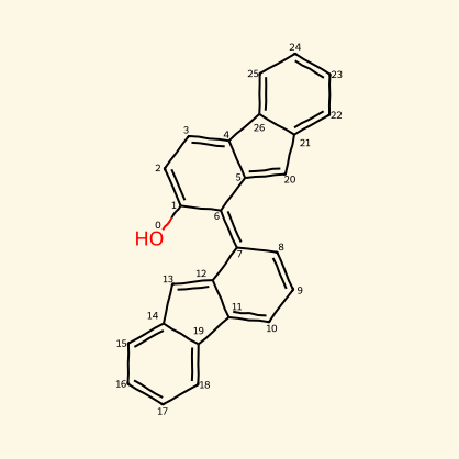 Oc1ccc2c(c1=c1cccc3c1=Cc1ccccc1-3)=Cc1ccccc1-2